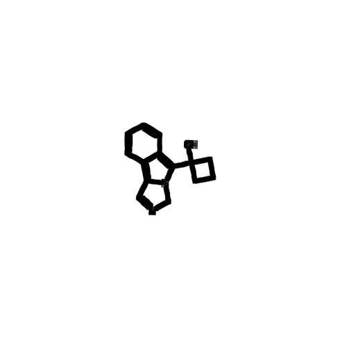 OC1(c2c3ccccc3c3n2CN=C3)CCC1